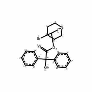 O=C(OC1CN2CCC1(Br)CC2)C(O)(c1ccccc1)c1ccccc1